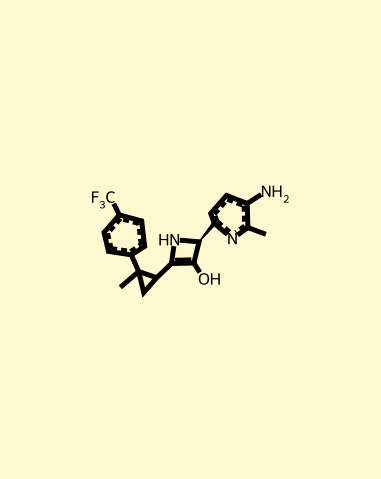 Cc1nc([C@@H]2NC(C3CC3(C)c3ccc(C(F)(F)F)cc3)=C2O)ccc1N